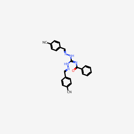 N#Cc1ccc(C=NNC(=NC(=O)c2ccccc2)NN=Cc2ccc(C#N)cc2)cc1